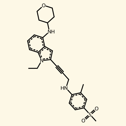 CCn1c(C#CCNc2ccc(S(C)(=O)=O)cc2C)cc2c(NC3CCOCC3)cccc21